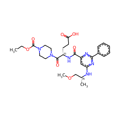 CCOC(=O)N1CCN(C(=O)[C@H](CCC(=O)O)NC(=O)c2cc(N[C@H](C)COC)nc(-c3ccccc3)n2)CC1